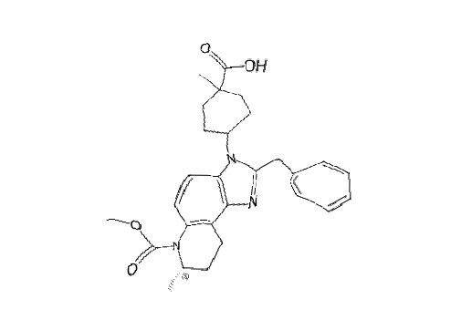 COC(=O)N1c2ccc3c(nc(Cc4ccccc4)n3C3CCC(C)(C(=O)O)CC3)c2CC[C@@H]1C